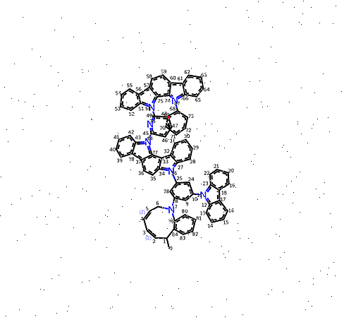 CC1/C=C\C=C/CN(c2cc(-n3c4ccccc4c4ccccc43)cc(-n3c4ccccc4c4c3ccc3c5ccccc5n(-c5cccc(-n6c7ccccc7c7ccc8c9ccccc9n(-c9ccccc9)c8c76)n5)c34)c2)c2ccccc21